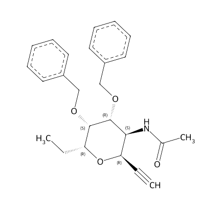 C#C[C@H]1O[C@H](CC)[C@H](OCc2ccccc2)[C@H](OCc2ccccc2)[C@H]1NC(C)=O